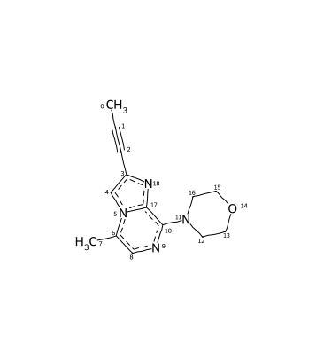 CC#Cc1cn2c(C)cnc(N3CCOCC3)c2n1